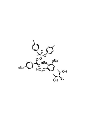 CCC(C(C)O)C(C)O.CCCCc1ccc(C(=O)OOP(=O)(Oc2ccc(C)cc2)Oc2ccc(C)cc2)cc1.CCCCc1cccc(C(=O)O)c1CCCC